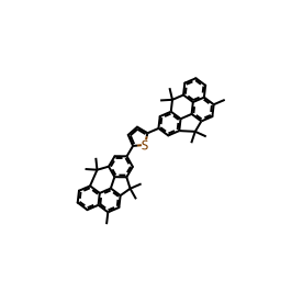 Cc1cc2c3c4c(cccc14)C(C)(C)c1cc(C4=C=C=C(c5cc6c7c(c5)C(C)(C)c5cccc8c(C)cc(c-7c58)C6(C)C)S4)cc(c1-3)C2(C)C